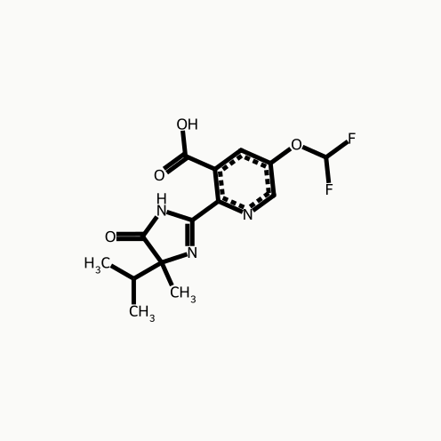 CC(C)C1(C)N=C(c2ncc(OC(F)F)cc2C(=O)O)NC1=O